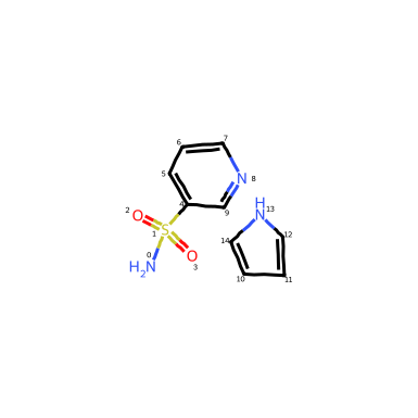 NS(=O)(=O)c1cccnc1.c1cc[nH]c1